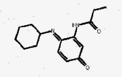 CCC(=O)NC1=CC(=O)C=C/C1=N\C1CCCCC1